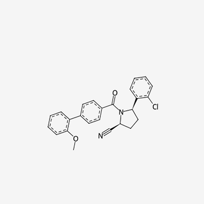 COc1ccccc1-c1ccc(C(=O)N2[C@H](C#N)CC[C@@H]2c2ccccc2Cl)cc1